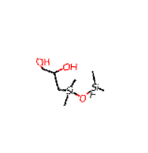 C[SiH](C)O[Si](C)(C)CC(O)CO